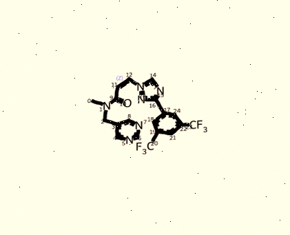 CN(Cc1cncnc1)C(=O)/C=C\n1cnc(-c2cc(C(F)(F)F)cc(C(F)(F)F)c2)n1